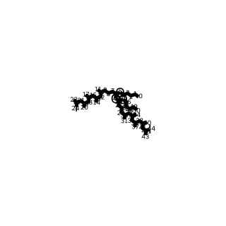 CCCCCOC(CCCC(C)CC(C)CC(C)CC(C)CC(C)I)OC(CCCC(C)CC(C)CC(C)CC(C)CC(C)I)OCCCCC